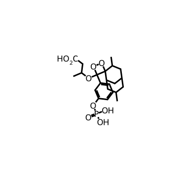 CC1CC2CC(C)C3(OOC3(OC(C)CC(=O)O)c3cccc(OP(=O)(O)O)c3)C(C1)C2